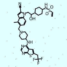 C=CS(=O)(=O)NC1CCC(C(O)Cn2c(C#N)cc3c(C)c(CN4CCC(Nc5ncnc6sc(CC(F)(F)F)cc56)CC4)ccc32)CC1